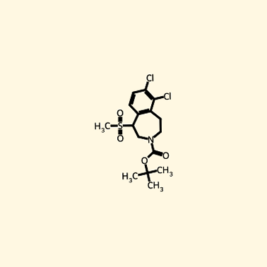 CC(C)(C)OC(=O)N1CCc2c(ccc(Cl)c2Cl)C(S(C)(=O)=O)C1